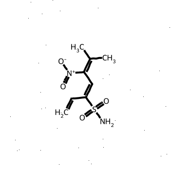 C=C/C(=C\C(=C(C)C)[N+](=O)[O-])S(N)(=O)=O